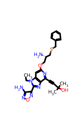 CCn1c(-c2nonc2N)nc2c(C#CC(C)(C)O)nc(OC[C@H](N)CSCc3ccccc3)cc21